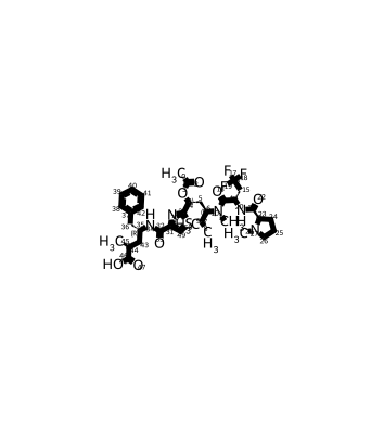 CC(=O)O[C@H](C[C@H](C(C)C)N(C)C(=O)[C@H](CC(F)(F)F)NC(=O)[C@H]1CCCN1C)c1nc(C(=O)N[C@@H](Cc2ccccc2)C[C@H](C)C(=O)O)cs1